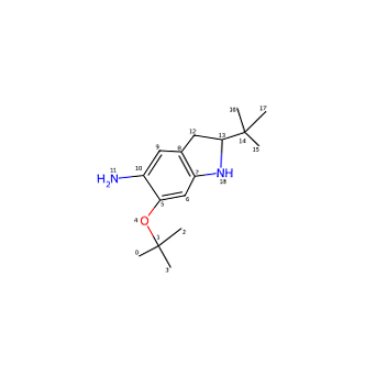 CC(C)(C)Oc1cc2c(cc1N)CC(C(C)(C)C)N2